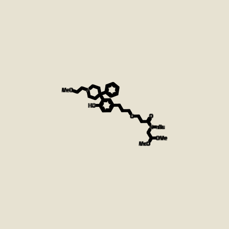 CCCCN(CC(OC)OC)C(=O)CCOCCCc1ccc(O)c(C2(c3ccccc3)CCN(CCOC)CC2)c1